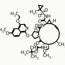 CCOc1cnc(O[C@@H]2C[C@H]3C(=O)N[C@]4(C(=O)NS(=O)(=O)C5(C)CC5)C[C@H]4/C=C\CC[C@@H](C)C[C@@H](COC)[C@H](NC(=O)OC(C)(C)C)C(=O)N3C2)c2ccc(OC)cc12